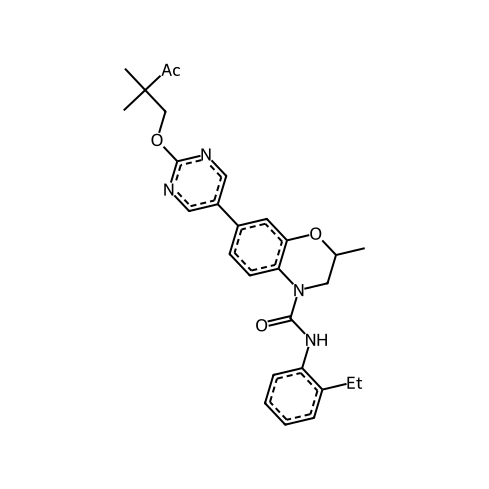 CCc1ccccc1NC(=O)N1CC(C)Oc2cc(-c3cnc(OCC(C)(C)C(C)=O)nc3)ccc21